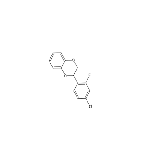 Fc1cc(Cl)ccc1C1COc2ccccc2O1